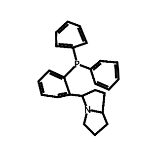 c1ccc(P(c2ccccc2)c2ccccc2C2CCC3CCCN32)cc1